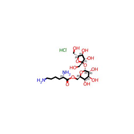 Cl.NCCCC[C@H](N)C(=O)OC[C@H]1O[C@H](O[C@]2(CO)O[C@H](CO)[C@@H](O)[C@@H]2O)[C@H](O)[C@@H](O)[C@@H]1O